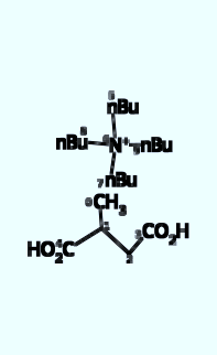 CC(CC(=O)O)C(=O)O.CCCC[N+](CCCC)(CCCC)CCCC